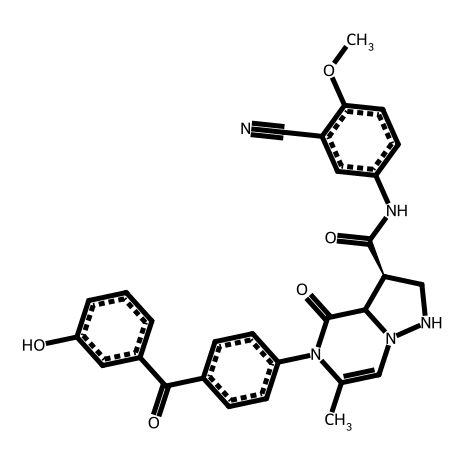 COc1ccc(NC(=O)[C@H]2CNN3C=C(C)N(c4ccc(C(=O)c5cccc(O)c5)cc4)C(=O)C23)cc1C#N